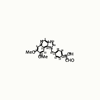 COc1cc2ncc3ncn(Cc4ccc(N(O)C=O)cc4)c3c2cc1OC